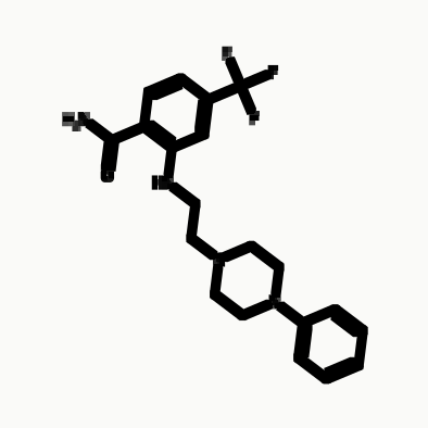 NC(=O)c1ccc(C(F)(F)F)cc1NCCN1CCN(c2ccccc2)CC1